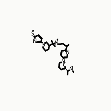 CSc1ccc(N2CCCC(C(C)(C)N(C)CCC(C)c3ccc(N4CCC[C@H](C(C)N(C)C)C4)cn3)C2)cn1